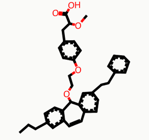 CCCc1ccc2c(c1)C=Cc1ccc(CCc3ccccc3)cc1C2OCCOc1ccc(CC(OC)C(=O)O)cc1